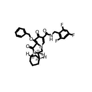 O=C(NCc1c(F)cc(F)cc1F)c1cn2c(c(OCc3ccccc3)c1=O)C(=O)N1[C@H]3CCC[C@H](C3)[C@H]1C2